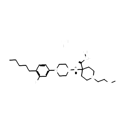 CCCCCc1ccc(N2CCN(S(=O)(=O)C3(C(=O)NO)CCN(CCOC)CC3)CC2)cc1F.Cl.Cl